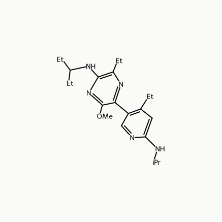 CCc1cc(NC(C)C)ncc1-c1nc(CC)c(NC(CC)CC)nc1OC